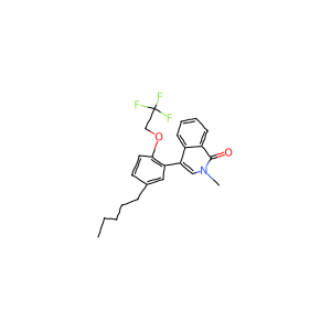 CCCCCc1ccc(OCC(F)(F)F)c(-c2cn(C)c(=O)c3ccccc23)c1